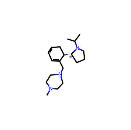 CC(C)N1CCC[C@@H]1C1CC=CC=C1CN1CCN(C)CC1